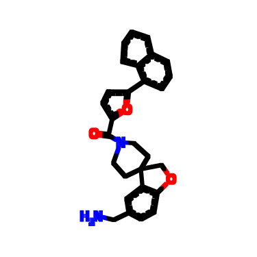 NCc1ccc2c(c1)C1(CCN(C(=O)c3ccc(-c4cccc5ccccc45)o3)CC1)CO2